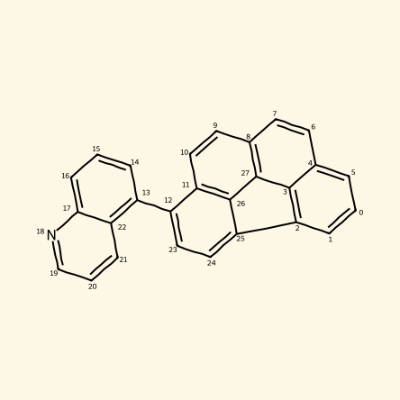 c1cc2c3c(c1)ccc1ccc4c(-c5cccc6ncccc56)ccc-2c4c13